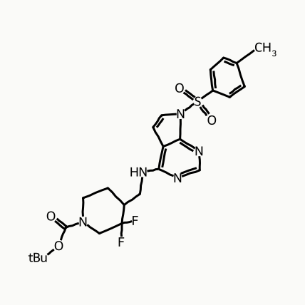 Cc1ccc(S(=O)(=O)n2ccc3c(NCC4CCN(C(=O)OC(C)(C)C)CC4(F)F)ncnc32)cc1